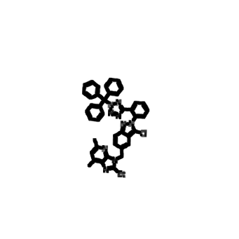 CCc1nc2c(C)cc(C)nc2n1Cc1ccc2nn(-c3ccccc3-c3nnn(C(c4ccccc4)(c4ccccc4)c4ccccc4)n3)c(Cl)c2c1